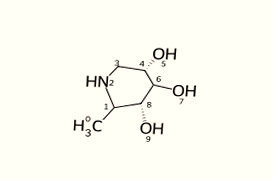 CC1NC[C@H](O)C(O)[C@@H]1O